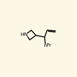 C=CC(CCC)C1CNC1